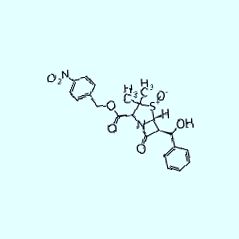 CC1(C)[C@H](C(=O)OCc2ccc([N+](=O)[O-])cc2)N2C(=O)[C@H](C(O)c3ccccc3)[C@H]2[S+]1[O-]